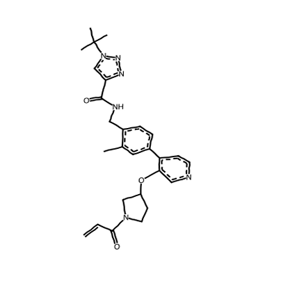 C=CC(=O)N1CCC(Oc2cnccc2-c2ccc(CNC(=O)c3cn(C(C)(C)C)nn3)c(C)c2)C1